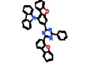 c1ccc(-c2nc(-c3cc(-n4c5ccccc5c5ccccc54)c4c(c3)oc3ccccc34)nc(-c3cccc4c3oc3ccccc34)n2)cc1